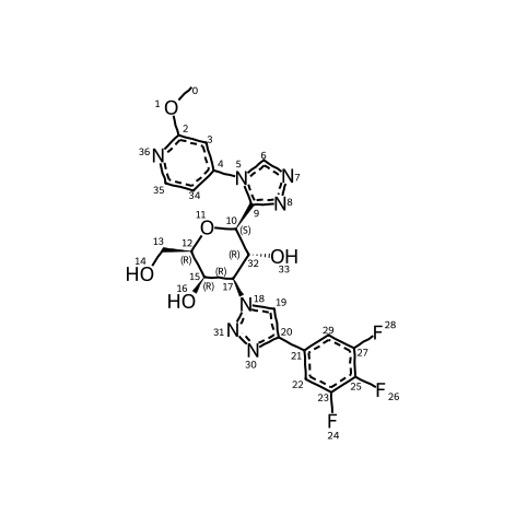 COc1cc(-n2cnnc2[C@@H]2O[C@H](CO)[C@H](O)[C@H](n3cc(-c4cc(F)c(F)c(F)c4)nn3)[C@H]2O)ccn1